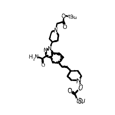 CC(C)(C)OC(=O)CN1CCC(n2nc(C(N)=O)c3cc(/C=C/C4CCN(OC(=O)C(C)(C)C)CC4)ccc32)CC1